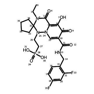 CCN1C(=O)c2c(O)c(=O)c(C(=O)NCc3ccc(F)cc3F)cn2N(CCP(=O)(O)O)C12CCCC2